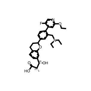 CCOc1cc(-c2ccc(C3CCc4ccc([C@H](O)[C@H](C)C(=O)O)cc4O3)cc2CN(CC)CC)c(F)cn1